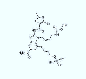 CCc1nc(C)oc1C(=O)Nc1nc2cc(C(N)=O)cc(OCCCO[Si](C(C)C)(C(C)C)C(C)C)c2n1C/C=C\CNC(=O)OC(C)(C)C